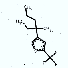 CCCC(C)(CC)c1csc(C(F)(F)F)c1